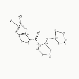 O=C(C1CCc2cc(Cl)c(Cl)cc21)N1CCSCC1CN1CCCCC1